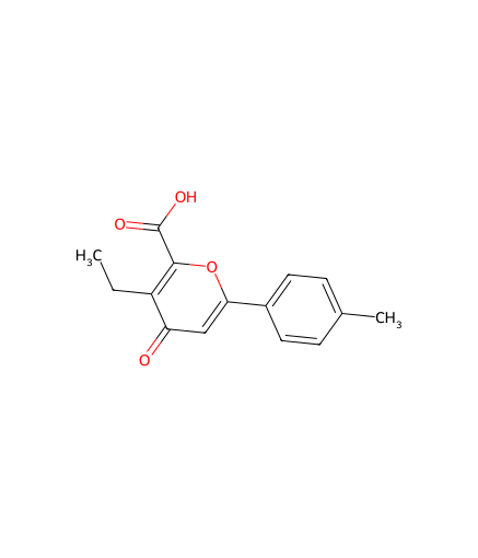 CCc1c(C(=O)O)oc(-c2ccc(C)cc2)cc1=O